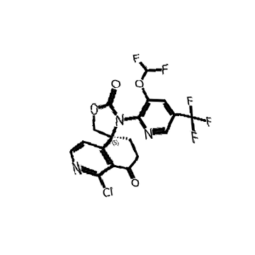 O=C1CC[C@@]2(COC(=O)N2c2ncc(C(F)(F)F)cc2OC(F)F)c2ccnc(Cl)c21